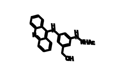 CC(=O)NNc1cc(CO)cc(Nc2c3ccccc3nc3ccccc23)c1